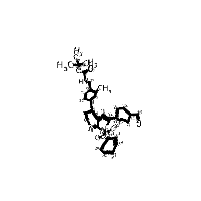 Cc1cc(-c2ccnc3c2cc(-c2ccc(C=O)cc2)n3S(=O)(=O)c2ccccc2)ccc1CNC(=O)OC(C)(C)C